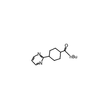 CCCCC(=O)C1CCC(c2ncccn2)CC1